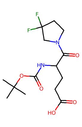 CC(C)(C)OC(=O)NC(CCC(=O)O)C(=O)N1CCC(F)(F)C1